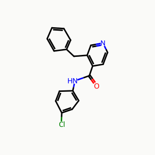 O=C(Nc1ccc(Cl)cc1)c1ccncc1Cc1ccccc1